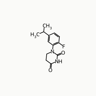 CC(C)c1ccc(F)c(N2CCC(=O)NC2=O)c1